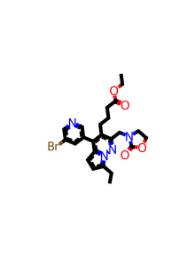 CCOC(=O)CCCc1c(CN2CCOC2=O)nn2c(CC)ccc2c1-c1cncc(Br)c1